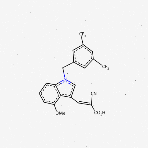 COc1cccc2c1c(/C=C(\C#N)C(=O)O)cn2Cc1cc(C(F)(F)F)cc(C(F)(F)F)c1